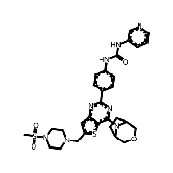 CS(=O)(=O)N1CCN(Cc2cc3nc(-c4ccc(NC(=O)Nc5cccnc5)cc4)nc(N4C5CCC4COC5)c3s2)CC1